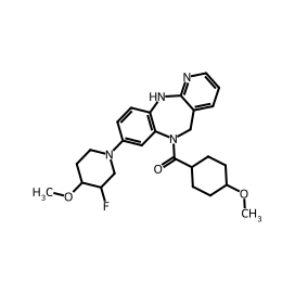 COC1CCC(C(=O)N2Cc3cccnc3Nc3ccc(N4CCC(OC)C(F)C4)cc32)CC1